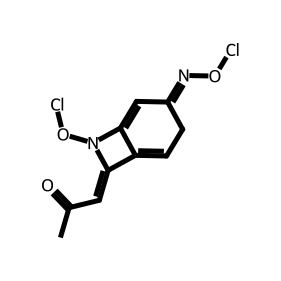 CC(=O)C=C1C2=CCC(=NOCl)C=C2N1OCl